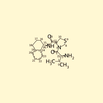 CC(C)[C@H](N)C(=O)N1CSC[C@H]1C(=O)N[C@@H]1CCCc2ccccc21